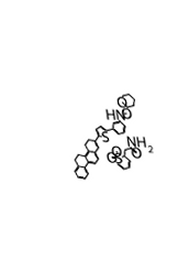 C1=C(c2ccc(-c3cccc(NOC4CCCCO4)c3)s2)CCc2c1ccc1c2CCc2ccccc2-1.NC(=O)CC1C=CC=CS1(=O)=O